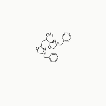 CC(CC1=N[C@H](Cc2ccccc2)CO1)C1=N[C@H](Cc2ccccc2)CO1